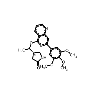 COc1cc(-c2cc3ncccc3c(OC(C)[C@H]3CNC(=O)C3)n2)cc(OC)c1OC